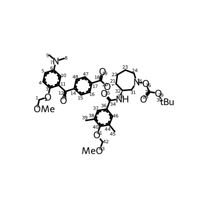 COCOc1ccc(N(C)C)cc1C(=O)c1ccc(C(=O)O[C@@H]2CCCN(OC(=O)OC(C)(C)C)C[C@H]2NC(=O)c2cc(C)c(OCOC)c(C)c2)cc1